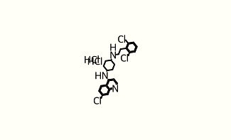 Cl.Cl.Clc1ccc2c(N[C@H]3CC[C@H](NCCc4c(Cl)cccc4Cl)CC3)ccnc2c1